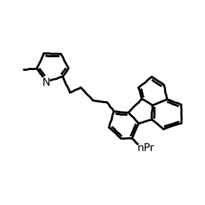 CCCc1ccc(CCCCc2cccc(C)n2)c2c1-c1cccc3cccc-2c13